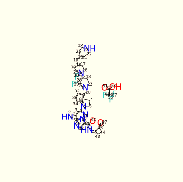 CNc1cc(N2CCc3c(CN4CC[C@@H](N5CCC(CC6CCNCC6)CC5)C(F)(F)C4)cccc32)nn2c(C(=O)N[C@@H]3CC[C@H]3OC)cnc12.O=C(O)C(F)(F)F